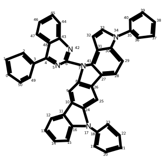 c1ccc(-c2nc(-n3c4cc5c6ccccc6n(-c6ccccc6)c5cc4c4ccc5c(ccn5-c5ccccc5)c43)nc3ccccc23)cc1